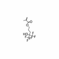 C=C(C)C(=O)OCCCC(O)(C(F)(F)F)C(F)(F)F